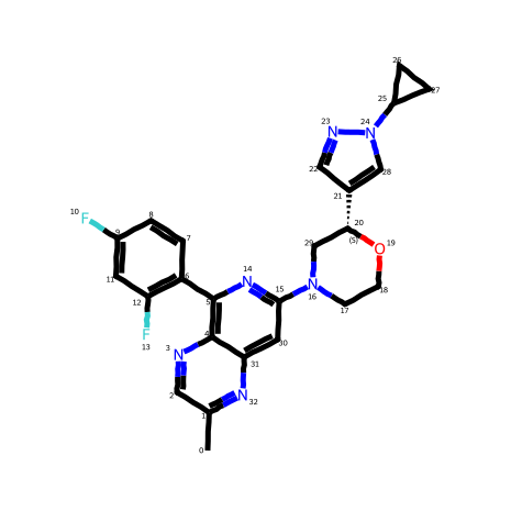 Cc1cnc2c(-c3ccc(F)cc3F)nc(N3CCO[C@@H](c4cnn(C5CC5)c4)C3)cc2n1